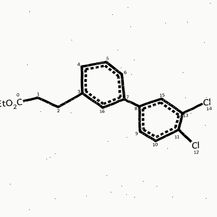 CCOC(=O)CCc1cccc(-c2ccc(Cl)c(Cl)c2)c1